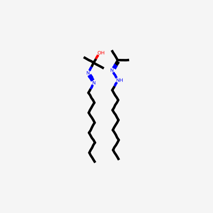 CCCCCCCCN=NC(C)(C)O.CCCCCCCCNN=C(C)C